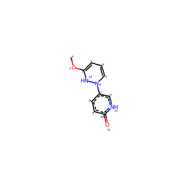 COC1=CC=CN(c2ccc(=O)[nH]c2)N1